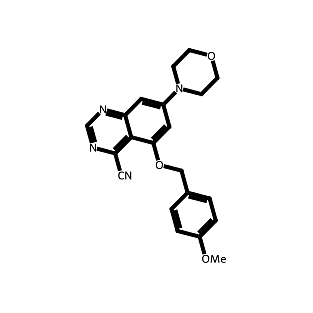 COc1ccc(COc2cc(N3CCOCC3)cc3ncnc(C#N)c23)cc1